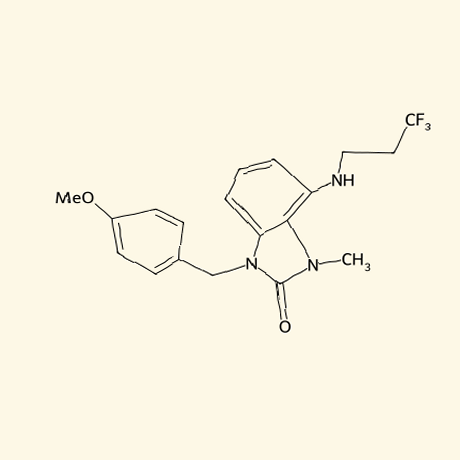 COc1ccc(Cn2c(=O)n(C)c3c(NCCC(F)(F)F)cccc32)cc1